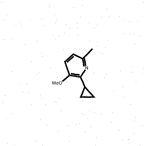 COc1ccc(C)nc1C1CC1